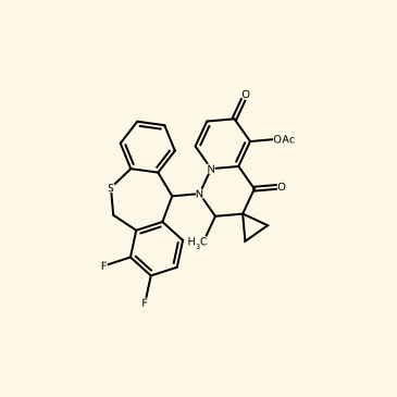 CC(=O)Oc1c2n(ccc1=O)N(C1c3ccccc3SCc3c1ccc(F)c3F)C(C)C1(CC1)C2=O